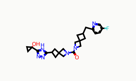 O=C(N1CC2(CC(Cc3ccc(F)cn3)C2)C1)N1CC2(CC(c3nnc(C4(O)CC4)[nH]3)C2)C1